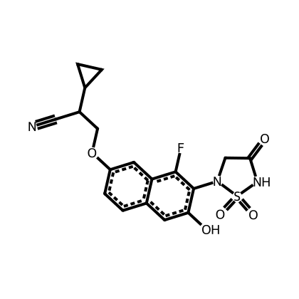 N#CC(COc1ccc2cc(O)c(N3CC(=O)NS3(=O)=O)c(F)c2c1)C1CC1